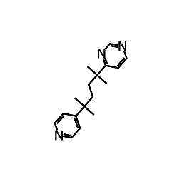 CC(C)(CCC(C)(C)c1ccncn1)c1ccncc1